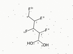 OC(O)C(F)C(F)C(F)CF